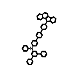 C1=CC2C=CC3=C(C2C=C1)C(C1C=CC(c2ccc(C4=CCC(N(c5ccccc5)c5cc(-c6ccccc6)cc(-c6ccccc6)c5)C=C4)cc2)=CC1)c1ccccc13